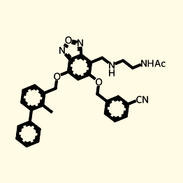 CC(=O)NCCNCc1c(OCc2cccc(C#N)c2)cc(OCc2cccc(-c3ccccc3)c2C)c2nonc12